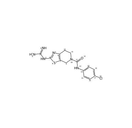 N=C(N)Nc1nc2c(s1)CN(C(=O)Nc1ccc(Cl)cc1)CC2